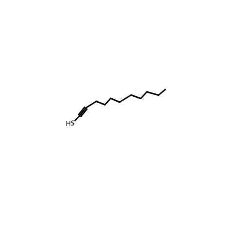 CCCCCCCCCC#CS